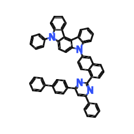 c1ccc(-c2ccc(-c3cc(-c4ccccc4)nc(-c4cccc5cc(-n6c7ccccc7c7c8c9ccccc9n(-c9ccccc9)c8ccc76)ccc45)n3)cc2)cc1